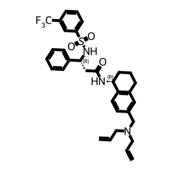 C=CCN(CC=C)Cc1ccc2c(c1)CCC[C@H]2NC(=O)C[C@@H](NS(=O)(=O)c1cccc(C(F)(F)F)c1)c1ccccc1